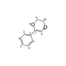 C1=C(c2ccccc2)OCCO1